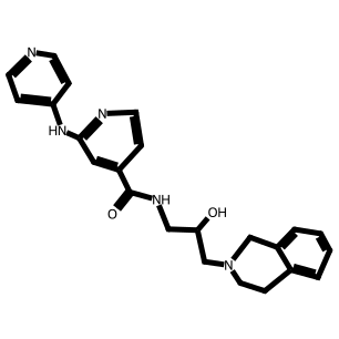 O=C(NCC(O)CN1CCc2ccccc2C1)c1ccnc(Nc2ccncc2)c1